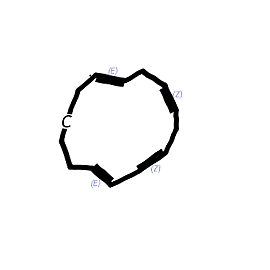 [C]1=C/C/C=C\C/C=C\C=C\CCCC/1